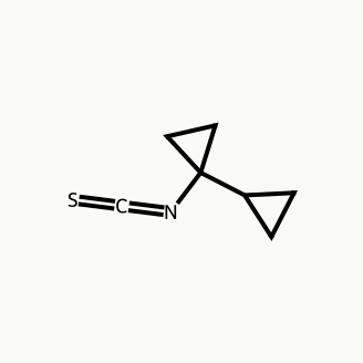 S=C=NC1(C2CC2)CC1